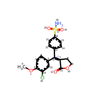 COc1ccc(/C(=C2/CCOC2=O)c2ccc(S(N)(=O)=O)cc2)cc1Cl